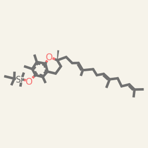 CC(C)=CCC/C(C)=C/CC/C(C)=C/CC[C@]1(C)CCc2c(C)c(O[Si](C)(C)C(C)(C)C)c(C)c(C)c2O1